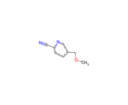 CO[CH]c1ccc(C#N)nc1